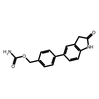 NC(=O)OCc1ccc(-c2ccc3c(c2)CC(=O)N3)cc1